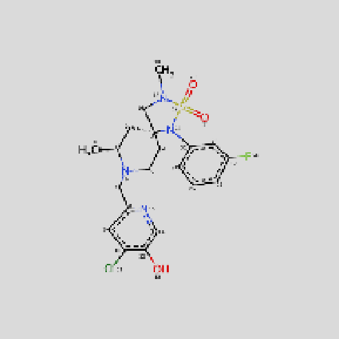 C[C@H]1C[C@]2(CCN1Cc1cc(Cl)c(O)cn1)CN(C)S(=O)(=O)N2c1cccc(F)c1